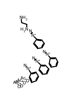 CC(=O)[O-].CC(=O)[O-].CC(=O)[O-].CC(=O)[O-].N#[N+]c1ccccc1.N#[N+]c1ccccc1.N#[N+]c1ccccc1.N#[N+]c1ccccc1.NCCN